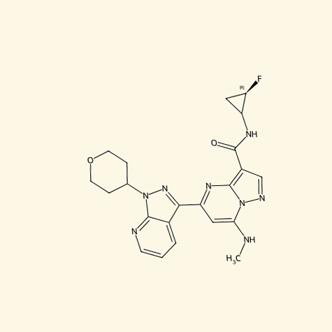 CNc1cc(-c2nn(C3CCOCC3)c3ncccc23)nc2c(C(=O)NC3C[C@H]3F)cnn12